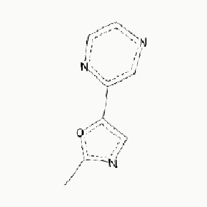 Cc1ncc(-c2cnccn2)o1